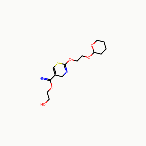 N=C(OCCO)C1=CSC(OCCOC2CCCCO2)=NC1